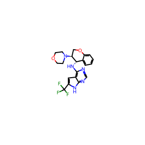 FC(F)(F)c1cc2c(N[C@H]3c4ccccc4OC[C@@H]3N3CCOCC3)ncnc2[nH]1